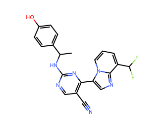 CC(Nc1ncc(C#N)c(-c2cnc3c(C(F)F)cccn23)n1)c1ccc(O)cc1